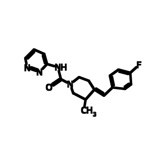 CC1CN(C(=O)Nc2cccnn2)CCC1=Cc1ccc(F)cc1